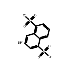 O=S(=O)([O-])c1cccc2c(S(=O)(=O)[O-])cccc12.[Ni+2]